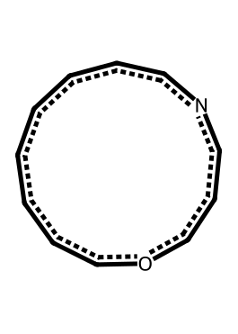 c1ccccocccnccc1